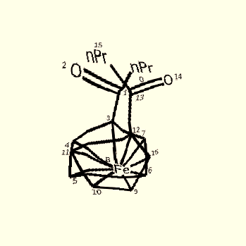 CCCC(=O)[C]12[CH]3[CH]4[CH]5[CH]1[Fe]45321678[CH]2[CH]1[CH]6[C]7(C(=O)CCC)[CH]28